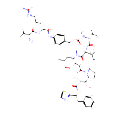 CC[C@H](C)[C@@H](C(CC(=O)N1CCC[C@H]1[C@H](OC)C(C)C(=O)N[C@@H](Cc1ccccc1)c1nccs1)OC)N(C)C(=O)[C@@H](NC(=O)[C@H](C(C)C)N(C)C(=O)OCc1ccc(NC(=O)[C@H](CCCNC(N)=O)NC(=O)[C@@H](N)C(C)C)cc1)C(C)C